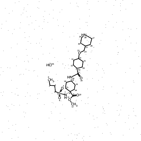 CCCCS(=O)(=O)N[C@]1(C(=O)OC)CC[C@H](NC(=O)N2CCC(OCC3CCNCC3)CC2)CC1.Cl